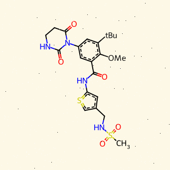 COc1c(C(=O)Nc2cc(CNS(C)(=O)=O)cs2)cc(N2C(=O)CCNC2=O)cc1C(C)(C)C